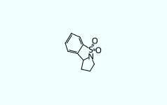 O=S1(=O)c2ccccc2C2CCCN21